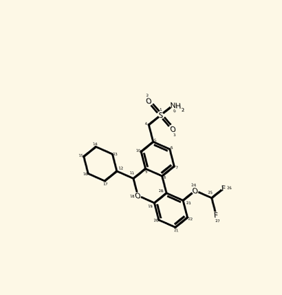 NS(=O)(=O)Cc1ccc2c(c1)C(C1CCCCC1)Oc1cccc(OC(F)F)c1-2